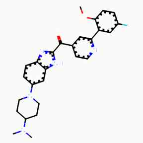 COc1ccc(F)cc1-c1cc(C(=O)c2nc3ccc(N4CCC(N(C)C)CC4)cc3[nH]2)ccn1